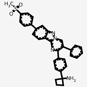 CS(=O)(=O)c1ccc(-c2ccc3c(c2)nn2cc(-c4ccccc4)c(-c4ccc(C5(N)CCC5)cc4)nc32)cc1